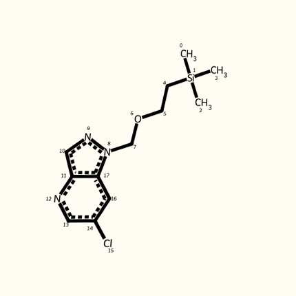 C[Si](C)(C)CCOCn1ncc2ncc(Cl)cc21